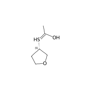 CC(O)=[SH][C@H]1CCOC1